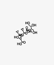 O=C(O)C1CC1.O=C(O)C1CC1.O=C(O)C1CC1.O=CO.OCC(O)C(O)CO